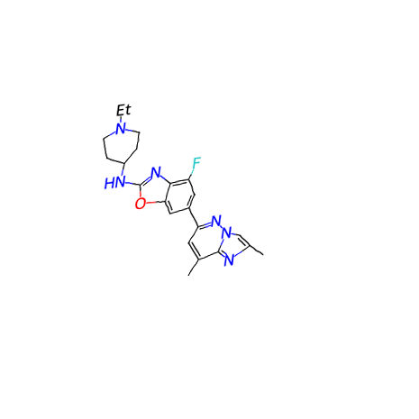 CCN1CCC(Nc2nc3c(F)cc(-c4cc(C)c5nc(C)cn5n4)cc3o2)CC1